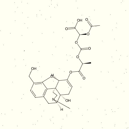 CC(=O)O[C@@H](OC(=O)O[C@@H](C)C(=O)OC1=CC[C@@]2(O)[C@H]3Cc4ccc(CO)c5c4[C@@]2(CCN3C)[C@H]1O5)C(=O)O